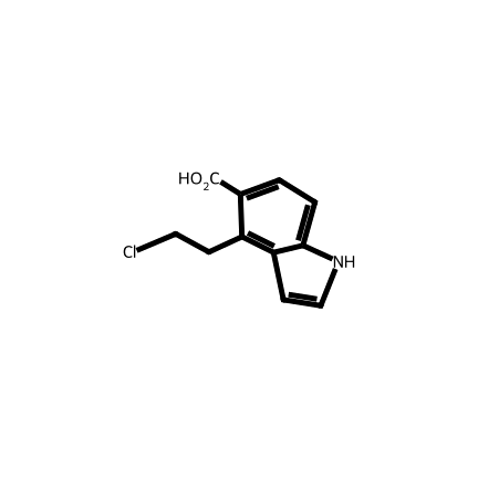 O=C(O)c1ccc2[nH]ccc2c1CCCl